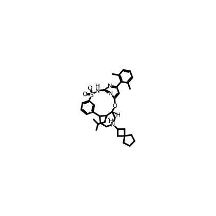 Cc1cccc(C)c1-c1cc2nc(n1)NS(=O)(=O)c1cccc(c1)C1CCN(C3CC4(CCCC4)C3)C[C@@H](O2)[C@H]1CC(C)C